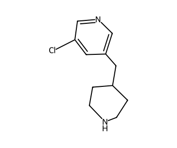 Clc1cncc(CC2CCNCC2)c1